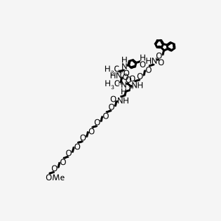 COCCOCCOCCOCCOCCOCCOCCOCCOCCOCC(=O)NCCCC[C@H](NC(=O)COCCOCCNC(=O)OCC1c2ccccc2-c2ccccc21)C(=O)N[C@@H](C)C(=O)N[C@@H](C)C(=O)Nc1ccc(CO)cc1